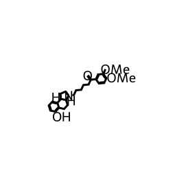 COc1ccc(C(=O)CCCCCN2CC[C@H]3c4cccc(O)c4CC[C@H]32)cc1OC